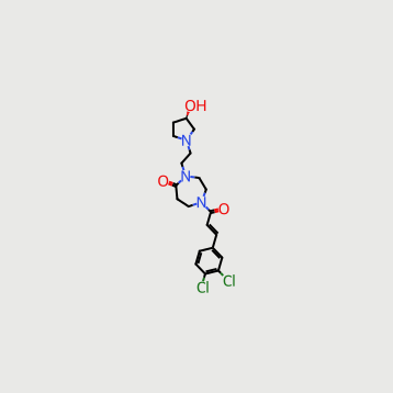 O=C(/C=C/c1ccc(Cl)c(Cl)c1)N1CCC(=O)N(CCN2CC[C@@H](O)C2)CC1